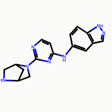 c1cc(Nc2ccc3[nH]ncc3c2)nc(N2CC3CC2CN3)n1